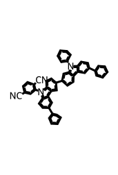 N#Cc1ccc(C#N)c(-n2c3ccc(-c4ccccc4)cc3c3cc(-c4ccc5c6cc(-c7ccccc7)ccc6n(-c6ccccc6)c5c4)ccc32)c1